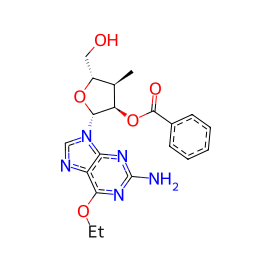 CCOc1nc(N)nc2c1ncn2[C@@H]1O[C@H](CO)[C@@H](C)[C@H]1OC(=O)c1ccccc1